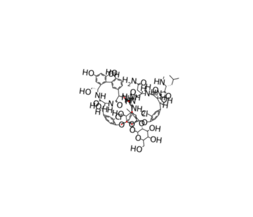 CN[C@H](CC(C)C)C(=O)N[C@H]1C(=O)N[C@@H](CC(N)=O)C(=O)N[C@H]2C(=N)N[C@H]3C(=O)N[C@H](C(=O)N[C@H](CO)c4cc(O)cc(O)c4-c4cc3ccc4O)[C@H](O)c3ccc(c(Cl)c3)Oc3cc2cc(c3O[C@@H]2OC(CO)C(O)[C@H](O)[C@H]2O[C@H]2CC(C)(N)[C@H](O)[C@H](C)O2)Oc2ccc(cc2Cl)[C@H]1O